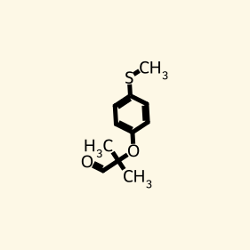 CSc1ccc(OC(C)(C)C=O)cc1